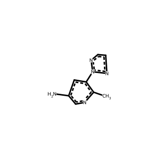 Cc1ncc(N)cc1-n1nccn1